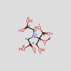 COC(CO)(C(=O)O)N(CC(=O)O)CC(=O)O